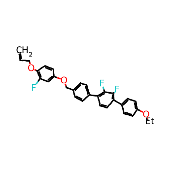 C=CCOc1ccc(OCc2ccc(-c3ccc(-c4ccc(OCC)cc4)c(F)c3F)cc2)cc1F